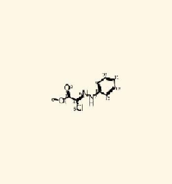 COC(=O)/C(Cl)=N/Nc1ccccc1